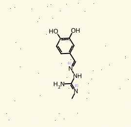 C/N=C(\N)N/N=C/c1ccc(O)c(O)c1